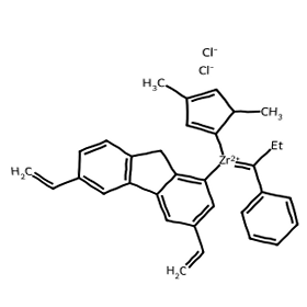 C=Cc1ccc2c(c1)-c1cc(C=C)c[c](/[Zr+2]([C]3=CC(C)=CC3C)=[C](/CC)c3ccccc3)c1C2.[Cl-].[Cl-]